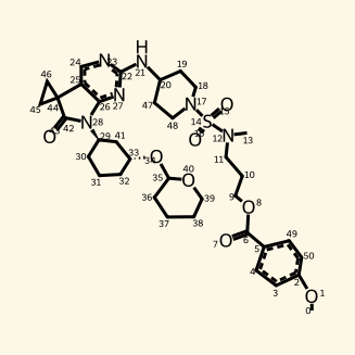 COc1ccc(C(=O)OCCCN(C)S(=O)(=O)N2CCC(Nc3ncc4c(n3)N([C@@H]3CCC[C@@H](OC5CCCCO5)C3)C(=O)C43CC3)CC2)cc1